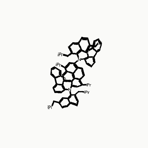 CC(C)Cc1ccc2ccc(CC(C)C)c(N(c3cc(C(C)C)c4ccc5c(N(c6c(CC(C)C)ccc7ccc(CC(C)C)cc67)c6cccc7c6oc6ccccc67)cc(C(C)C)c6ccc3c4c65)c3cccc4c3oc3ccccc34)c2c1